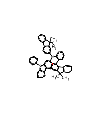 CC1(C)C2=C(C=CCC2)c2c(-c3ccccc3N(c3ccc4c(c3)C(C)(C)c3ccccc3-4)c3ccc4c5ccccc5n(-c5ccccc5)c4c3)cccc21